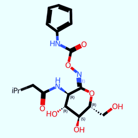 CC(C)CC(=O)N[C@H]1/C(=N\OC(=O)Nc2ccccc2)O[C@H](CO)[C@@H](O)[C@@H]1O